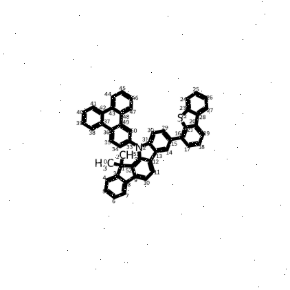 CC1(C)c2ccccc2-c2ccc3c4cc(-c5cccc6c5sc5ccccc56)ccc4n(-c4ccc5c6ccccc6c6ccccc6c5c4)c3c21